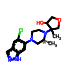 C[C@@H]1CN(c2cc3[nH]ncc3cc2Cl)CCN1C1(C)COCC1O